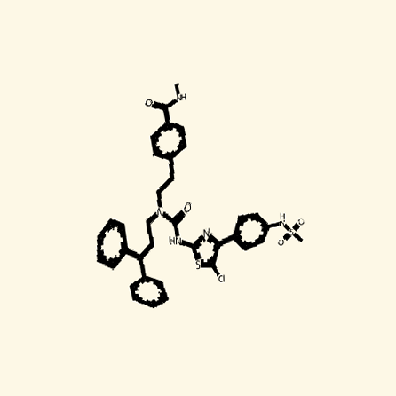 CNC(=O)c1ccc(CCN(CCC(c2ccccc2)c2ccccc2)C(=O)Nc2nc(-c3ccc(NS(C)(=O)=O)cc3)c(Cl)s2)cc1